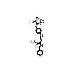 CCO[C@@H](Cc1ccc(OCCc2nc(-c3ccccc3)oc2C)cc1)C(S)CC